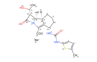 Cc1ccc(NC(=O)N[C@H]2CCC[C@H]3C2=C(C(=O)[O-])N2C(=O)[C@H](C(C)O)[C@@H]32)s1.[Na+]